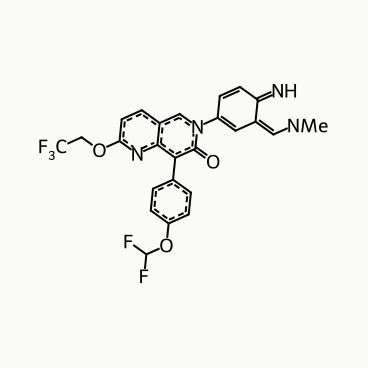 CN/C=C1/C=C(n2cc3ccc(OCC(F)(F)F)nc3c(-c3ccc(OC(F)F)cc3)c2=O)C=CC1=N